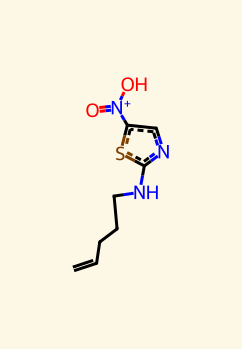 C=CCCCNc1ncc([N+](=O)O)s1